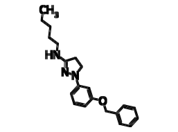 CCCCCNC1=NN(c2cccc(OCc3ccccc3)c2)CC1